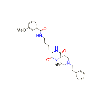 CCCN1C(=O)[C@H](CCCCNC(=O)c2cccc(OC)c2)NC(=O)C12CCN(CCc1ccccc1)CC2